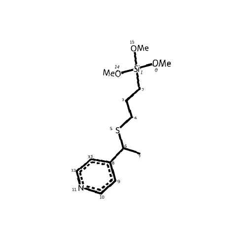 CO[Si](CCCSC(C)c1ccncc1)(OC)OC